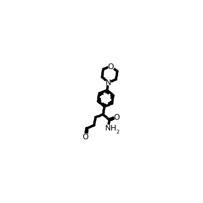 NC(=O)C(CCC=O)c1ccc(N2CCOCC2)cc1